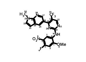 COc1cc(F)c([N+](=O)[O-])cc1Nc1ncc(C(F)(F)F)c(-c2cnc3c(ccn3C)c2)n1